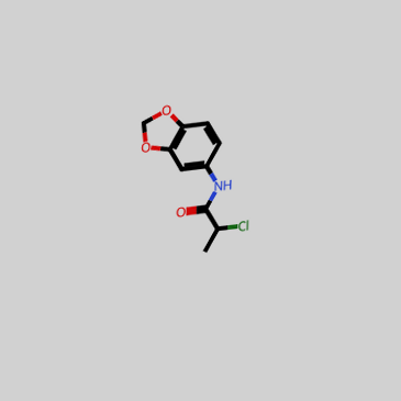 CC(Cl)C(=O)Nc1ccc2c(c1)OCO2